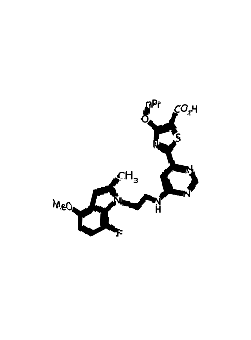 CCCOc1nc(-c2cc(NCCn3c(C)cc4c(OC)ccc(F)c43)ncn2)sc1C(=O)O